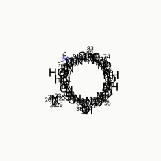 C/C=C/C[C@@H](C)[C@@H](O)[C@H]1C(=O)N[C@@H](CC)C(=O)N(C)[C@H](SCCCN(CC)C(C)C)C(=O)N(C)[C@@H](CC(C)(C)OC)C(=O)N[C@@H](C(C)C)C(=O)N(C)[C@@H](CC(C)C)C(=O)N[C@@H](C)C(=O)N[C@H](C)C(=O)N(C)[C@@H](CC(C)C)C(=O)N(C)[C@@H](CC(C)C)C(=O)N(C)[C@@H](C(C)C)C(=O)N1C